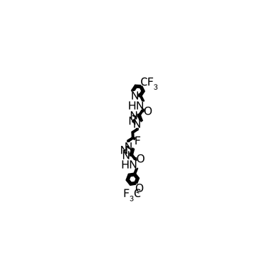 O=C(NCc1cc(C(F)(F)F)ccn1)c1cn(CCC(F)Cn2cc(C(=O)NCc3cccc(OC(F)(F)F)c3)nn2)nn1